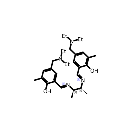 CCN(CC)Cc1cc(C)c(O)c(/C=N/[C@H](C)[C@@H](C)/N=C/c2cc(CN(CC)CC)cc(C)c2O)c1